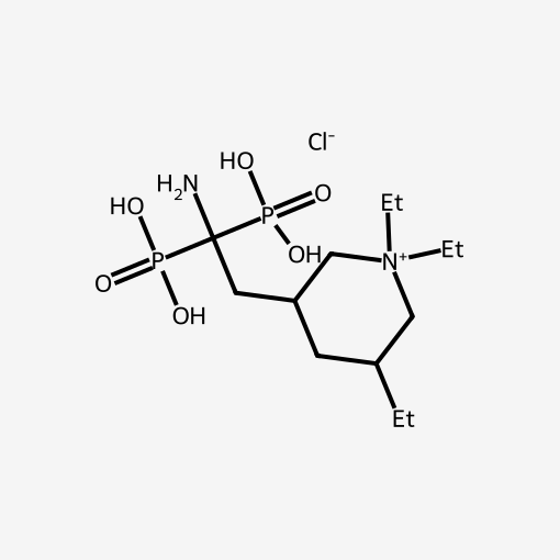 CCC1CC(CC(N)(P(=O)(O)O)P(=O)(O)O)C[N+](CC)(CC)C1.[Cl-]